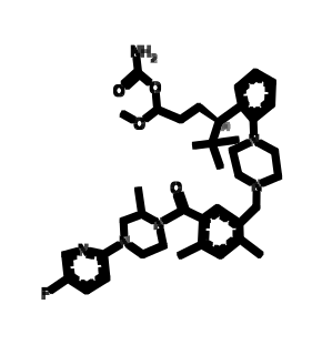 COC(CC[C@@H](c1ccccc1N1CCN(Cc2cc(C(=O)N3CCN(c4ccc(F)cn4)CC3C)c(C)cc2C)CC1)C(C)(C)C)OC(N)=O